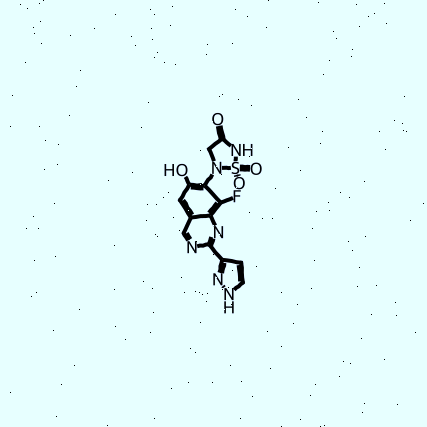 O=C1CN(c2c(O)cc3cnc(-c4cc[nH]n4)nc3c2F)S(=O)(=O)N1